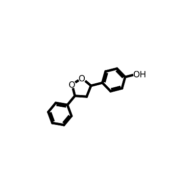 Oc1ccc(C2CC(c3ccccc3)OO2)cc1